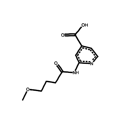 COCCCC(=O)Nc1cc(C(=O)O)ccn1